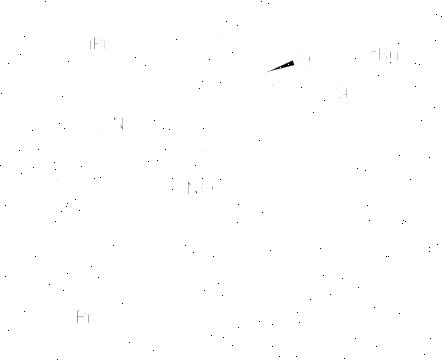 CC(C)CN(c1ccc(Br)cc1[N+](=O)[O-])[C@H]1CC[C@H](O[Si](C)(C)C(C)(C)C)CC1